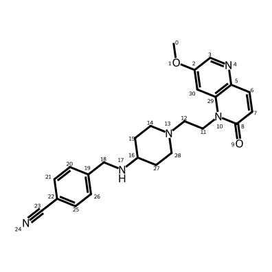 COc1cnc2ccc(=O)n(CCN3CCC(NCc4ccc(C#N)cc4)CC3)c2c1